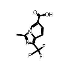 Cc1nc(C(F)(F)F)c2ccc(C(=O)O)cn12